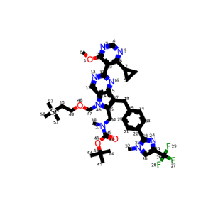 COc1ncnc(C2CC2)c1-c1ncc2c(n1)c(Cc1ccc(-c3nc(C(F)(F)F)cn3C)cc1)c(CN(C)C(=O)OC(C)(C)C)n2COCC[Si](C)(C)C